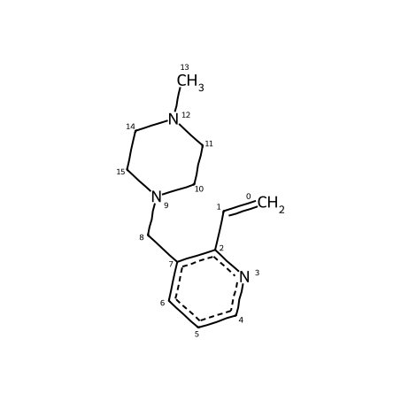 C=Cc1ncccc1CN1CCN(C)CC1